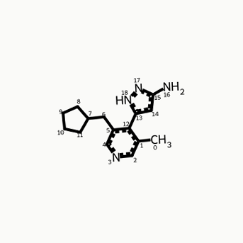 Cc1cncc(CC2CCCC2)c1-c1cc(N)n[nH]1